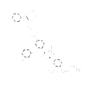 CN1CCC(Nc2ccc(S(=O)(=O)NC(=O)c3ccc(N4CCN(CC5=C(c6ccc(Cl)cc6)CC(C)(C)CC5)CC4)cc3Oc3cccc(Cl)c3)cc2[N+](=O)[O-])CC1